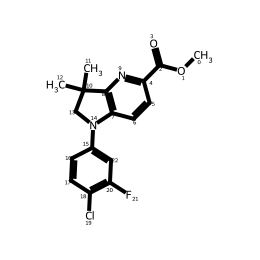 COC(=O)c1ccc2c(n1)C(C)(C)CN2c1ccc(Cl)c(F)c1